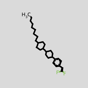 CCCCCCCCCC1CCC(C2CCC(c3ccc(C=C(F)F)cc3)CC2)CC1